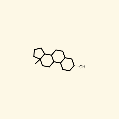 CC12CCCC1C1CCC3C[C@H](O)CCC3C1CC2